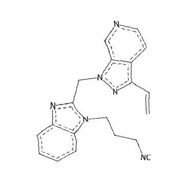 [C-]#[N+]CCCn1c(Cn2nc(C=C)c3ccncc32)nc2ccccc21